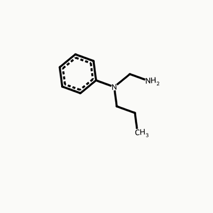 CCCN(CN)c1ccccc1